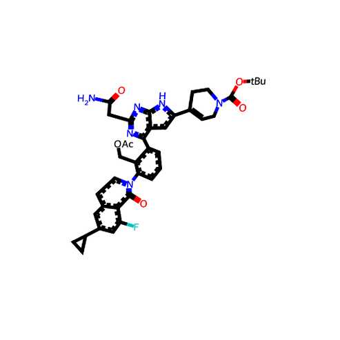 CC(=O)OCc1c(-c2nc(CC(N)=O)nc3[nH]c(C4=CCN(C(=O)OC(C)(C)C)CC4)cc23)cccc1-n1ccc2cc(C3CC3)cc(F)c2c1=O